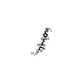 CCOC(=O)CC(C#N)NC(=O)CCC(=O)Nc1ccc(C=NN)cc1